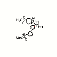 COC(=O)Nc1cccc(-c2ccc([C@@]3(CC(=O)NO)CCN(S(C)(=O)=O)CCS3(=O)=O)s2)c1